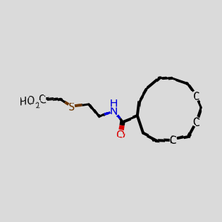 O=C(O)CSCCNC(=O)C1CCCCCCCCCCCC1